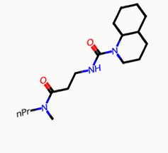 CCCN(C)C(=O)CCNC(=O)N1CCCC2CCCCC21